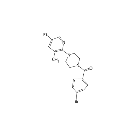 CCc1cnc(N2CCN(C(=O)c3ccc(Br)cc3)CC2)c(C)c1